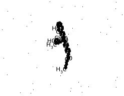 CCCCCCOC(=O)CCN1CCC(N2CCN(C(=O)[C@@H](Cc3cc(C)c(O)c(C)c3)OC(=O)N3CCC(N4CCc5ccccc5NC4=O)CC3)CC2)CC1